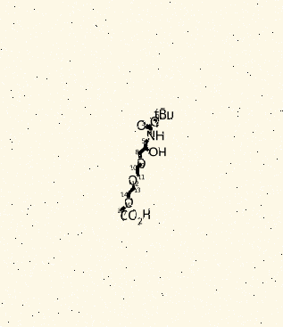 CC(C)(C)OC(=O)NCC(O)COCCOCCOCC(=O)O